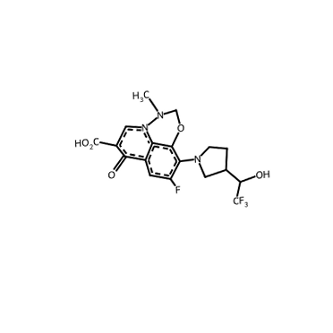 CN1COc2c(N3CCC(C(O)C(F)(F)F)C3)c(F)cc3c(=O)c(C(=O)O)cn1c23